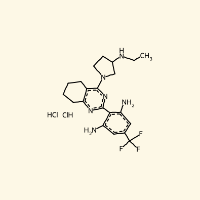 CCNC1CCN(c2nc(-c3c(N)cc(C(F)(F)F)cc3N)nc3c2CCCC3)C1.Cl.Cl